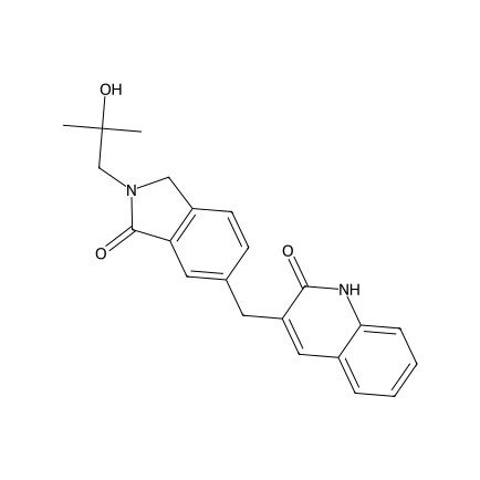 CC(C)(O)CN1Cc2ccc(Cc3cc4ccccc4[nH]c3=O)cc2C1=O